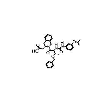 CC(C)Oc1cccc(NC(=O)N[C@H](C(=O)N2Cc3ccccc3C[C@@H]2CC(=O)O)[C@@H](C)OCc2ccccc2)c1